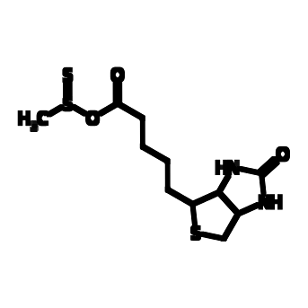 CS(=S)OC(=O)CCCCC1SCC2NC(=O)NC21